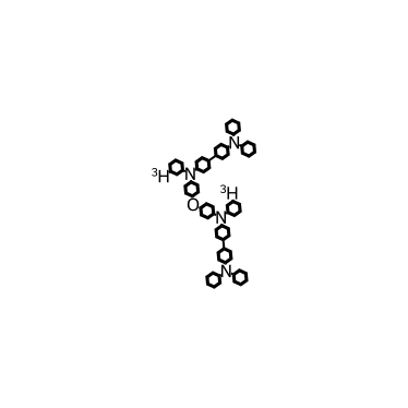 [3H]c1cccc(N(c2ccc(Oc3ccc(N(c4ccc(-c5ccc(N(c6ccccc6)c6ccccc6)cc5)cc4)c4cccc([3H])c4)cc3)cc2)c2ccc(-c3ccc(N(c4ccccc4)c4ccccc4)cc3)cc2)c1